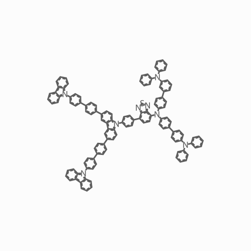 c1ccc(N(c2ccccc2)c2ccc(-c3ccc(N(c4ccc(-c5cccc(N(c6ccccc6)c6ccccc6)c5)cc4)c4ccc(-c5ccc(-n6c7ccc(-c8ccc(-c9ccc(-n%10c%11ccccc%11c%11ccccc%11%10)cc9)cc8)cc7c7cc(-c8ccc(-c9ccc(-n%10c%11ccccc%11c%11ccccc%11%10)cc9)cc8)ccc76)cc5)c5nsnc45)cc3)cc2)cc1